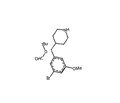 CC(C)(C)OC=O.COc1cc(Br)cc(CC2CCNCC2)c1